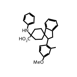 COc1ccc(C2Cc3ccccc3C23CCC(Nc2ccccc2)(C(=O)O)CC3)c(C)c1